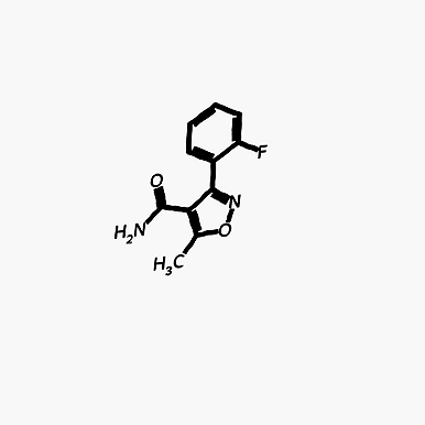 Cc1onc(-c2ccccc2F)c1C(N)=O